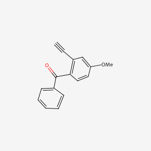 C#Cc1cc(OC)ccc1C(=O)c1ccccc1